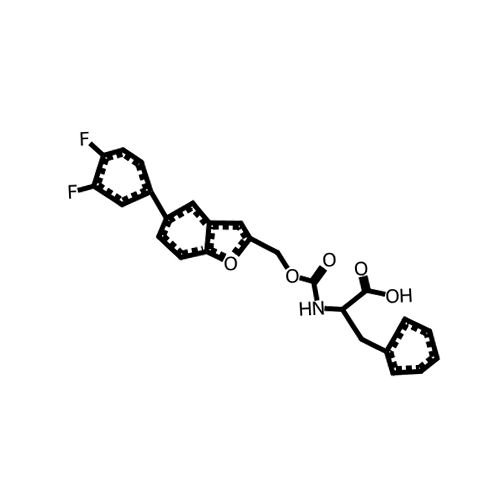 O=C(NC(Cc1ccccc1)C(=O)O)OCc1cc2cc(-c3ccc(F)c(F)c3)ccc2o1